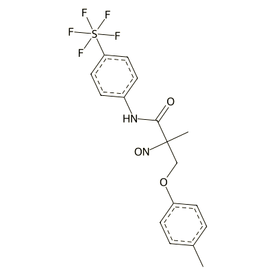 Cc1ccc(OCC(C)(N=O)C(=O)Nc2ccc(S(F)(F)(F)(F)F)cc2)cc1